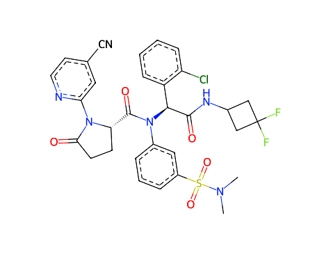 CN(C)S(=O)(=O)c1cccc(N(C(=O)[C@@H]2CCC(=O)N2c2cc(C#N)ccn2)[C@H](C(=O)NC2CC(F)(F)C2)c2ccccc2Cl)c1